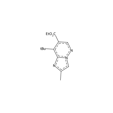 CCOC(=O)c1cnn2cc(C)nc2c1C(C)(C)C